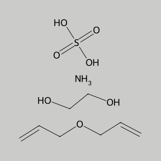 C=CCOCC=C.N.O=S(=O)(O)O.OCCO